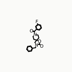 O=C1OC2(CCN(C(=O)c3cccc(F)c3)CC2)CN1Cc1ccccc1